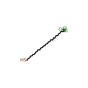 SCCCCCCCCCCCCCCCCCCCCCCCCCCCCC[Si](Cl)(Cl)Cl